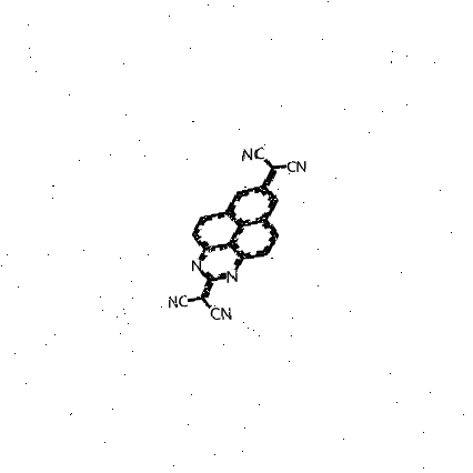 N#CC(C#N)=c1cc2ccc3nc(=C(C#N)C#N)nc4ccc(c1)c2c34